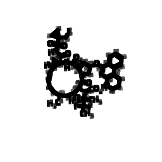 CC[C@@H]1C[C@@H](C)CCC=C[C@@H]2C[C@@]2(C(=O)NS(=O)(=O)C2(CF)CC2)NC(=O)[C@@H]2C[C@@H](Oc3nc4c(c5ccccc35)CCCO4)CN2C(=O)[C@H]1N(C(=O)O)C(C)(C)C(C)(F)F